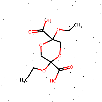 CCOC1(C(=O)O)COC(OCC)(C(=O)O)CO1